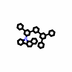 c1ccc(-c2cc(-c3ccccc3)cc(-c3cccc(-c4cc(-c5ccccc5)cc(-n5c6ccccc6c6ccc7ccccc7c65)c4)c3)c2)cc1